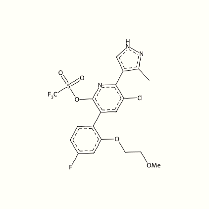 COCCOc1cc(F)ccc1-c1cc(Cl)c(-c2c[nH]nc2C)nc1OS(=O)(=O)C(F)(F)F